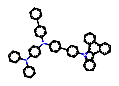 c1ccc(-c2ccc(N(c3ccc(-c4ccc(-n5c6ccccc6c6c7ccccc7c7ccccc7c65)cc4)cc3)c3ccc(N(c4ccccc4)c4ccccc4)cc3)cc2)cc1